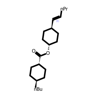 CCC/C=C/[C@H]1CC[C@H](OC(=O)[C@H]2CC[C@H](CCCC)CC2)CC1